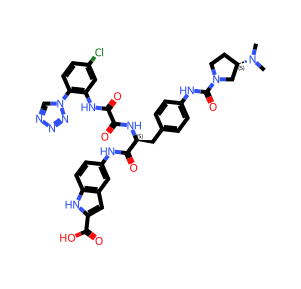 CN(C)[C@H]1CCN(C(=O)Nc2ccc(C[C@H](NC(=O)C(=O)Nc3cc(Cl)ccc3-n3cnnn3)C(=O)Nc3ccc4[nH]c(C(=O)O)cc4c3)cc2)C1